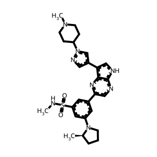 CNS(=O)(=O)c1cc(-c2cnc3[nH]cc(-c4cnn(C5CCN(C)CC5)c4)c3n2)cc(N2CCC[C@H]2C)c1